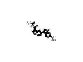 CC[C@H](C)Nc1ncc2c(-c3ccn4ncc(C(=O)N[C@H](C)C(F)(F)F)c4c3)c[nH]c2n1